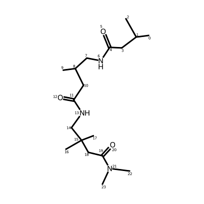 CC(C)CC(=O)NCC(C)CC(=O)NCC(C)(C)CC(=O)N(C)C